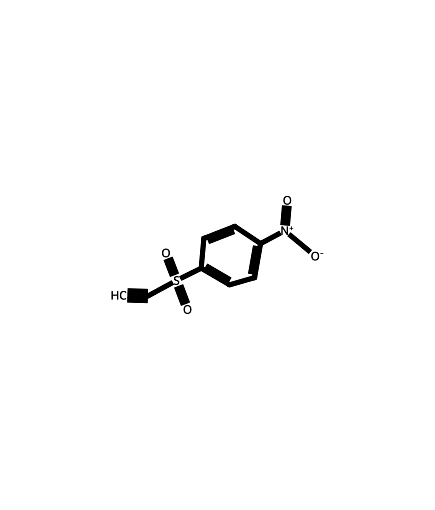 C#CS(=O)(=O)c1ccc([N+](=O)[O-])cc1